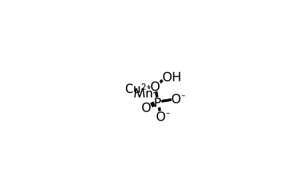 O=P([O-])([O-])OO.[Cu+2].[Mn]